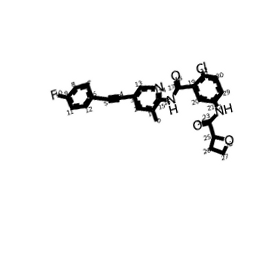 Cc1cc(C#Cc2ccc(F)cc2)cnc1NC(=O)c1cc(NC(=O)C2CCO2)ccc1Cl